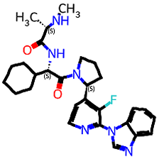 CN[C@@H](C)C(=O)N[C@H](C(=O)N1CCC[C@H]1c1ccnc(-n2cnc3ccccc32)c1F)C1CCCCC1